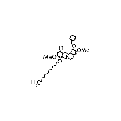 C=CCCCCCCCCCOc1c(OC)cc(Cl)c2c1CN1CCc3cc(OC)c(OCc4ccccc4)cc3C1C2